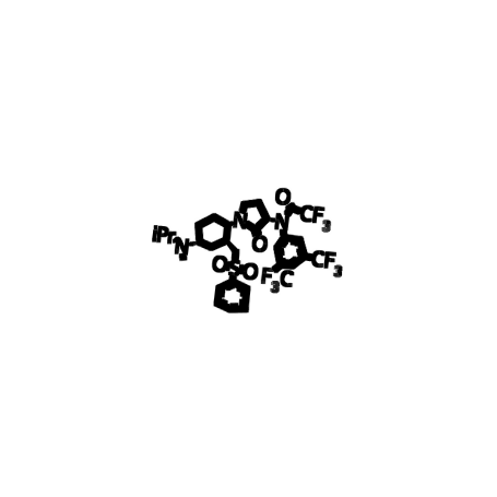 CC(C)N(C)[C@@H]1CC[C@H](N2CC[C@H](N(C(=O)C(F)(F)F)c3cc(C(F)(F)F)cc(C(F)(F)F)c3)C2=O)[C@@H](CS(=O)(=O)c2ccccc2)C1